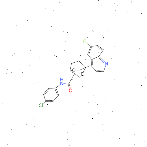 O=C(Nc1ccc(Cl)cc1)C1CCC2(c3ccnc4ccc(F)cc34)CCC1CC2